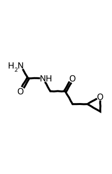 NC(=O)NCC(=O)CC1CO1